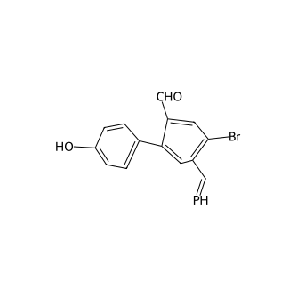 O=Cc1cc(Br)c(C=P)cc1-c1ccc(O)cc1